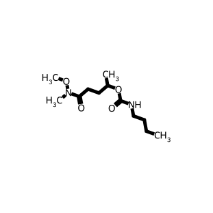 CCCCNC(=O)OC(C)CCC(=O)N(C)OC